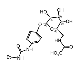 CCNC(=O)Nc1ccc(O[C@H]2O[C@H](CNC(=O)C(=O)O)[C@@H](O)[C@H](O)[C@@H]2O)cc1